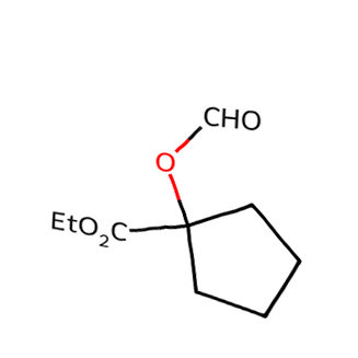 CCOC(=O)C1(OC=O)CCCC1